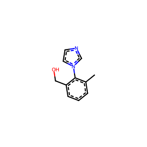 Cc1cccc(CO)c1-n1ccnc1